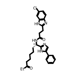 CCC(=O)CCCCC[C@H](NC(=O)CCc1nc2ccc(Cl)cc2[nH]1)c1ncc(-c2ccccc2)[nH]1